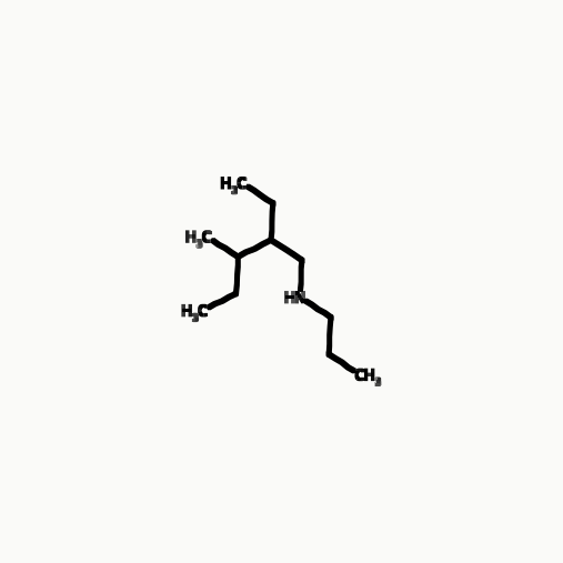 CCCNCC(CC)C(C)CC